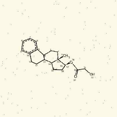 C[C@]12CCC3c4ccccc4CCC3C1CC[C@@H]2OC(=O)CO